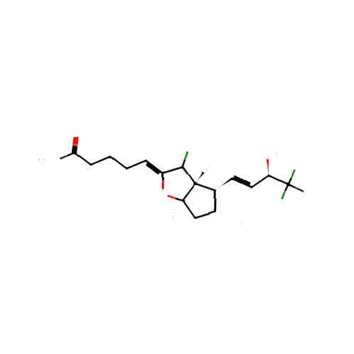 CCCCC(F)(F)[C@H](O)/C=C/[C@@H]1[C@H]2C(F)/C(=C/CCCC(=O)OC)O[C@@H]2C[C@H]1O